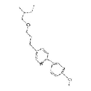 CCC(C)COCCCc1ccc(-c2ccc(OC)cc2)nc1